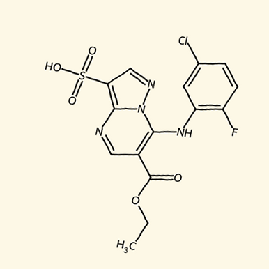 CCOC(=O)c1cnc2c(S(=O)(=O)O)cnn2c1Nc1cc(Cl)ccc1F